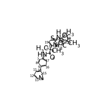 CC(C)(C(=O)Nc1ccc(-c2cccnc2)cc1)c1csc(NS(=O)(=O)C(C)(C)C)n1